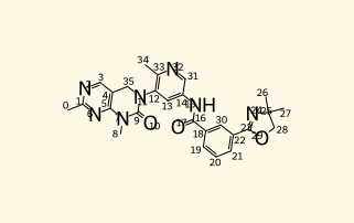 Cc1ncc2c(n1)N(C)C(=O)N(c1cc(NC(=O)c3cccc(C4=NC(C)(C)CO4)c3)cnc1C)C2